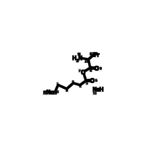 CCCCCCCCCCCCCC(=O)OC(=O)C(N)C(C)C.[NaH]